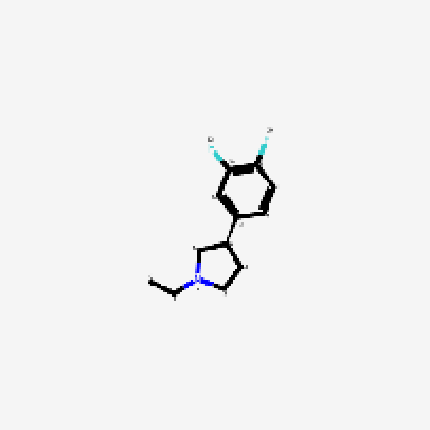 CCN1C[CH][C@H](c2ccc(F)c(F)c2)C1